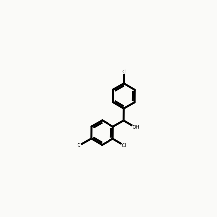 OC(c1ccc(Cl)cc1)c1ccc(Cl)cc1Cl